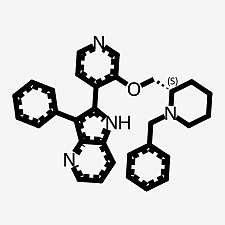 c1ccc(CN2CCCC[C@H]2COc2cnccc2-c2[nH]c3cccnc3c2-c2ccccc2)cc1